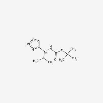 CC(C)[C@@H](NC(=O)OC(C)(C)C)c1cc[nH]n1